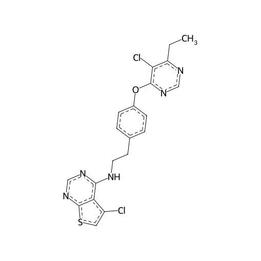 CCc1ncnc(Oc2ccc(CCNc3ncnc4scc(Cl)c34)cc2)c1Cl